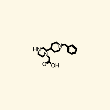 O=C(O)CN1[CH]CNCC1C1CCN(Cc2ccccc2)CC1